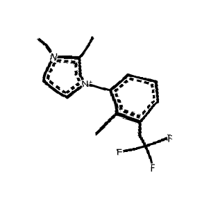 Cc1c(-[n+]2ccn(C)c2C)cccc1C(F)(F)F